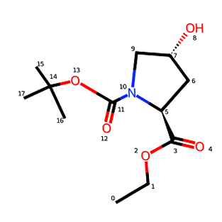 CCOC(=O)[C@@H]1C[C@@H](O)CN1C(=O)OC(C)(C)C